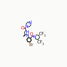 C=C(CCC(=O)N1CCN(C)CC1)Nc1ccc(Br)cc1C(=O)N1C[C@H](C(F)(F)F)C[C@H](C(F)(F)F)C1